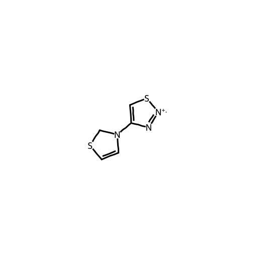 C1=CN(C2=CS[N+]=N2)CS1